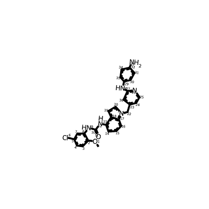 COc1ccc(Cl)cc1NC(=O)Nc1cccc2c1ccn2Cc1ccnc(Nc2ccc(N)cc2)c1